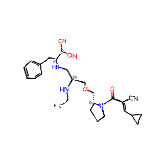 N#CC(=CC1CC1)C(=O)N1CCC[C@@H]1COC[C@H](CN[C@@H](Cc1ccccc1)B(O)O)NCC(F)(F)F